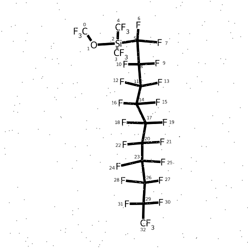 FC(F)(F)O[Si](C(F)(F)F)(C(F)(F)F)C(F)(F)C(F)(F)C(F)(F)C(F)(F)C(F)(F)C(F)(F)C(F)(F)C(F)(F)C(F)(F)C(F)(F)F